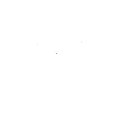 Nc1cc[n+](Cc2ccccc2)c(F)c1.[Cl-]